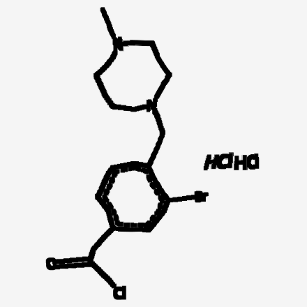 CN1CCN(Cc2ccc(C(=O)Cl)cc2Br)CC1.Cl.Cl